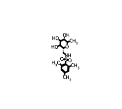 Cc1cc(C)c(S(=O)(=O)NC[C@H]2OC(C)[C@@H](O)C(O)C2O)c(C)c1